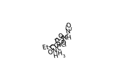 CCc1cc(-c2ccc(S(=O)(=O)NCCN3CCOCC3)s2)c(C)[nH]c1=O.Cl